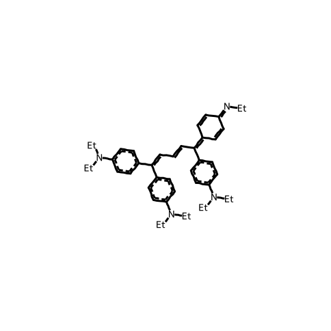 CCN=C1C=CC(=C(/C=C/C=C(c2ccc(N(CC)CC)cc2)c2ccc(N(CC)CC)cc2)c2ccc(N(CC)CC)cc2)C=C1